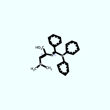 CN(C)/C=C(\N=C(\B(c1ccccc1)c1ccccc1)c1ccccc1)C(=O)O